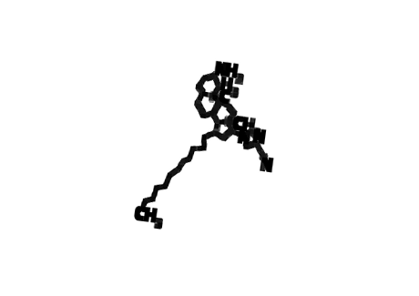 CCCCCCCCCCCCC1=C2C3=C(C=C[C@]2(C)C(n2cnc(C#N)c2)=C1)[C@]1(C)CC(N)=CC=C1C=C3